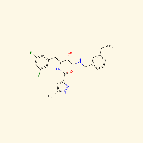 CCc1cccc(CNC[C@@H](O)[C@H](Cc2cc(F)cc(F)c2)NC(=O)c2cc(C)n[nH]2)c1